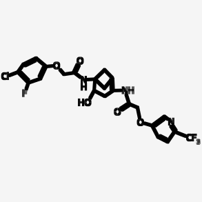 O=C(COc1ccc(C(F)(F)F)nc1)NC1=C2CC(NC(=O)COc3ccc(Cl)c(F)c3)(C2)C(O)C1